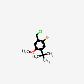 COc1cc(CCl)c(Br)cc1C(C)(C)C